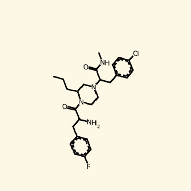 CCCC1CN(C(Cc2ccc(Cl)cc2)C(=O)NC)CCN1C(=O)C(N)Cc1ccc(F)cc1